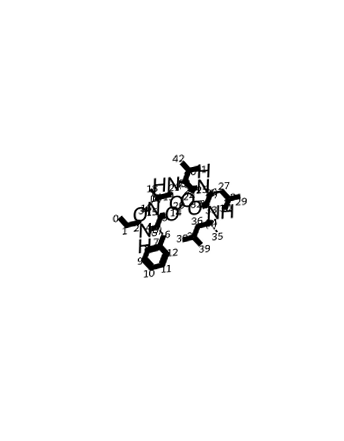 CCC(=O)N[C@@H](Cc1ccccc1)C(=O)N(C)[C@@H](C)C(=O)N[C@H](C(=O)N[C@@H](CC(C)C)C(=O)N[C@H](C)CC(C)C)C(C)C